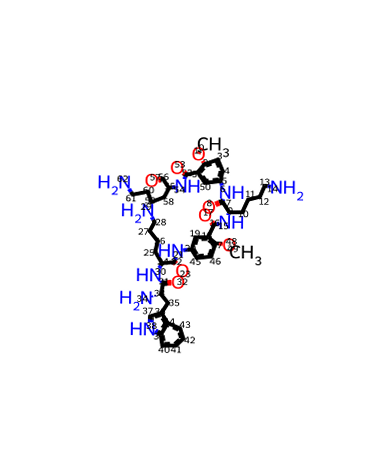 COc1ccc(NC(=O)C(CCCCN)NC(=O)c2cc(NC(=O)C(CCCCN)NC(=O)[C@@H](N)Cc3c[nH]c4ccccc34)ccc2OC)cc1C(=O)NC(C=O)CCCCN